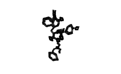 CCN(CCOC(=O)C(Cc1cc(=O)[nH]c2ccccc12)NC(=O)c1ccc(Cl)cc1)Cc1ccccc1